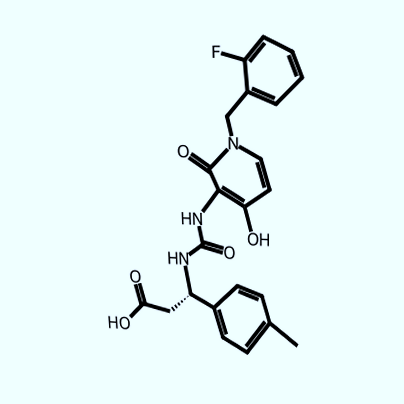 Cc1ccc([C@H](CC(=O)O)NC(=O)Nc2c(O)ccn(Cc3ccccc3F)c2=O)cc1